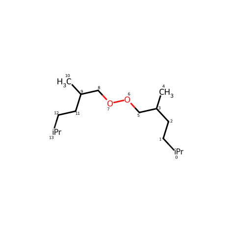 CC(C)CCC(C)COOCC(C)CCC(C)C